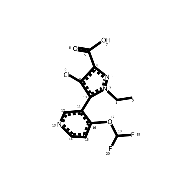 CCn1nc(C(=O)O)c(Cl)c1-c1cnccc1OC(F)F